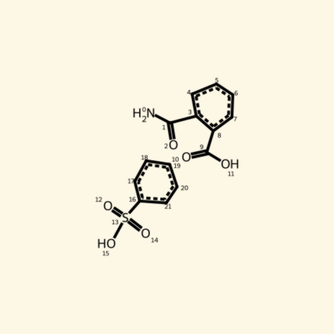 NC(=O)c1ccccc1C(=O)O.O=S(=O)(O)c1ccccc1